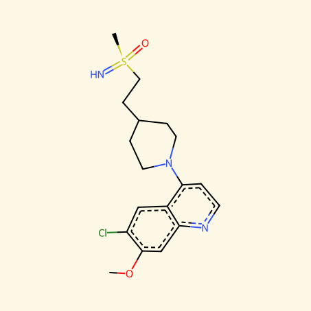 COc1cc2nccc(N3CCC(CC[S@](C)(=N)=O)CC3)c2cc1Cl